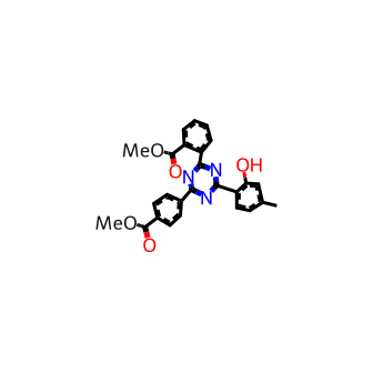 COC(=O)c1ccc(-c2nc(-c3ccc(C)cc3O)nc(-c3ccccc3C(=O)OC)n2)cc1